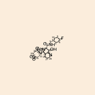 O=C(NCc1ccc(F)cc1)c1nc(N2CCS(=O)(=O)CCS2(=O)=O)c2cccnc2c1O